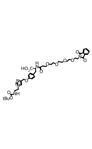 CC(C)(C)OC(=O)NCCn1cc(COc2ccc(C[C@H](NC(=O)CCOCCOCCOCCOCCN3C(=O)c4ccccc4C3=O)C(=O)O)cc2)nn1